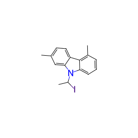 Cc1ccc2c3c(C)cccc3n(C(C)I)c2c1